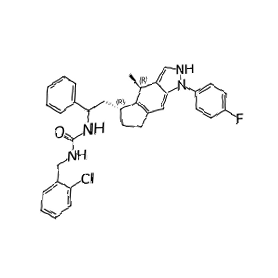 C[C@H]1C2=CNN(c3ccc(F)cc3)C2=CC2=C1[C@@H](CC(NC(=O)NCc1ccccc1Cl)c1ccccc1)CC2